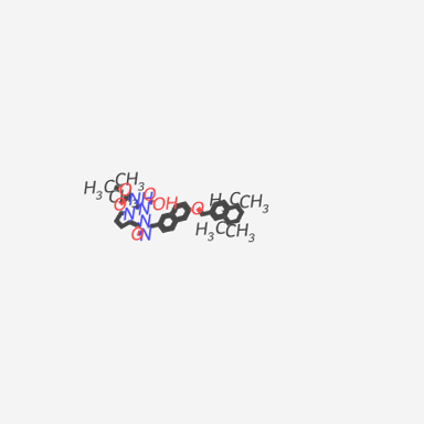 CC(C)(C)OC(=O)NC(=NC(=O)O)N1CCCC1c1nc(-c2ccc3cc(OCc4ccc5c(c4)C(C)(C)CCC5(C)C)ccc3c2)no1